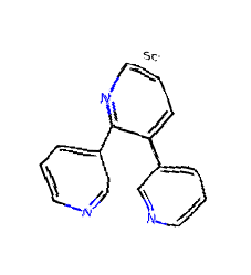 [Sc].c1cncc(-c2cccnc2-c2cccnc2)c1